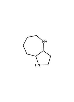 C1CCC2NCCC2NC1